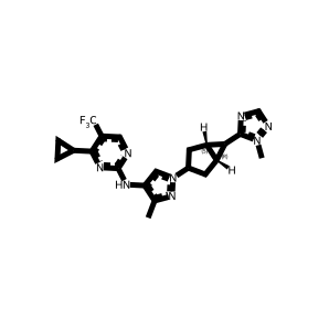 Cc1nn(C2C[C@@H]3C(c4ncnn4C)[C@@H]3C2)cc1Nc1ncc(C(F)(F)F)c(C2CC2)n1